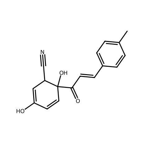 Cc1ccc(/C=C/C(=O)C2(O)C=CC(O)=CC2C#N)cc1